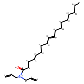 C=CCN(CC=C)C(=O)CCCCCCCC=CCCCCCCCC